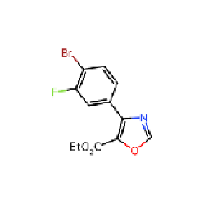 CCOC(=O)c1ocnc1-c1ccc(Br)c(F)c1